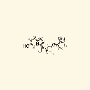 CN(CCOc1ccccc1C(C)(C)C)C(=O)c1nnc2ccc(O)cn12